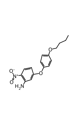 CCCCOc1ccc(Oc2ccc([N+](=O)[O-])c(N)c2)cc1